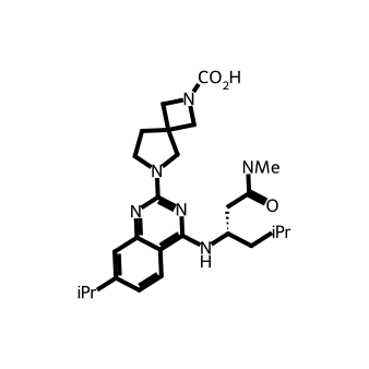 CNC(=O)C[C@H](CC(C)C)Nc1nc(N2CCC3(CN(C(=O)O)C3)C2)nc2cc(C(C)C)ccc12